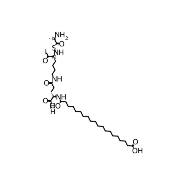 C[C@H](N)C(=O)SN[C@@H](CCCCNC(=O)CC[C@H](NC(O)CCCCCCCCCCCCCCCCCCC(=O)O)C(=O)O)C(=O)I